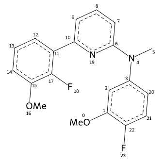 COc1cc(N(C)c2cccc(-c3cccc(OC)c3F)n2)ccc1F